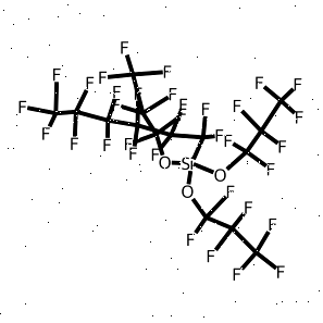 FC(F)(F)C(F)(F)C(F)(F)O[Si](OC(F)(F)C(F)(F)C(F)(F)F)(OC(F)(F)C(F)(F)C(F)(F)F)C(F)(F)C(F)(F)C(F)(F)C(F)(F)C(F)(F)C(F)(F)F